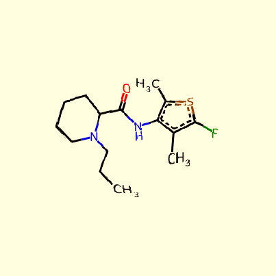 CCCN1CCCCC1C(=O)Nc1c(C)sc(F)c1C